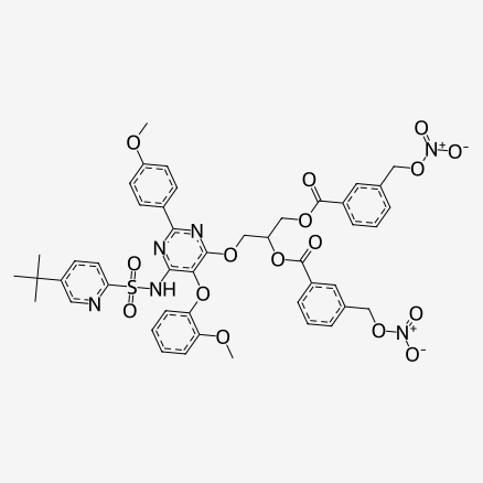 COc1ccc(-c2nc(NS(=O)(=O)c3ccc(C(C)(C)C)cn3)c(Oc3ccccc3OC)c(OCC(COC(=O)c3cccc(CO[N+](=O)[O-])c3)OC(=O)c3cccc(CO[N+](=O)[O-])c3)n2)cc1